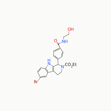 CCOC(=O)N1CCc2c([nH]c3ccc(Br)cc23)C1c1ccc(C(=O)NCCO)cc1